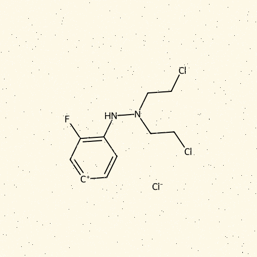 FC1=C(NN(CCCl)CCCl)C=C[C+]=C1.[Cl-]